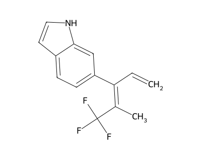 C=C/C(=C(\C)C(F)(F)F)c1ccc2cc[nH]c2c1